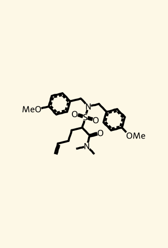 C=CCCC(C(=O)N(C)C)S(=O)(=O)N(Cc1ccc(OC)cc1)Cc1ccc(OC)cc1